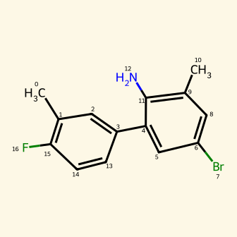 Cc1cc(-c2cc(Br)cc(C)c2N)ccc1F